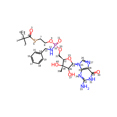 CCC(C)(C)C(=O)SCCOP(=O)(NCc1ccccc1)OC[C@H]1O[C@@H](n2cnc3c(=O)[nH]c(N)nc32)C(O)[C@]1(C)O